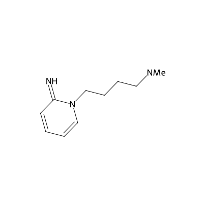 CNCCCCn1ccccc1=N